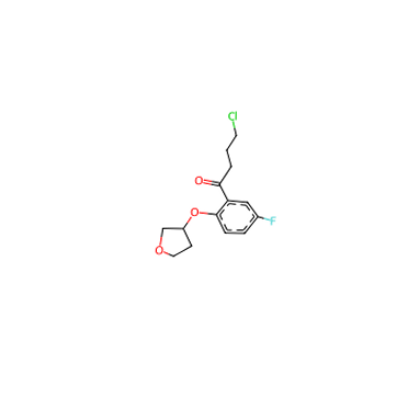 O=C(CCCCl)c1cc(F)ccc1OC1CCOC1